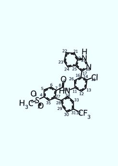 CS(=O)(=O)c1ccc(C(=O)Nc2ccc(Cl)c(-c3n[nH]c4ccccc34)c2)c(-c2ccc(C(F)(F)F)cc2)c1